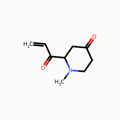 C=CC(=O)C1CC(=O)CCN1C